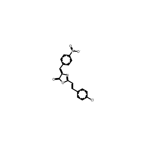 O=C1OC(C=Cc2ccc(Cl)cc2)=NC1=Cc1ccc([N+](=O)[O-])cc1